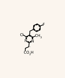 Cc1nc([CH]CC(=O)O)nc(Cl)c1Cc1ccc(F)cc1